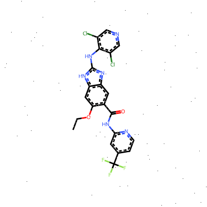 CCOc1cc2[nH]c(Nc3c(Cl)cncc3Cl)nc2cc1C(=O)Nc1cc(C(F)(F)F)ccn1